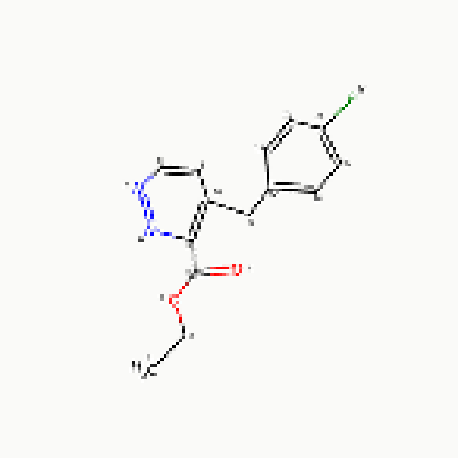 CCOC(=O)c1nnccc1Cc1ccc(F)cc1